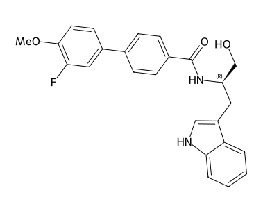 COc1ccc(-c2ccc(C(=O)N[C@@H](CO)Cc3c[nH]c4ccccc34)cc2)cc1F